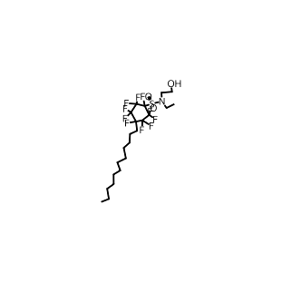 CCCCCCCCCCCCC1(F)C(F)(F)C(F)(F)C(F)(S(=O)(=O)N(CC)CCO)C(F)(F)C1(F)F